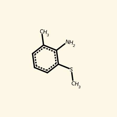 CSc1cccc(C)c1N